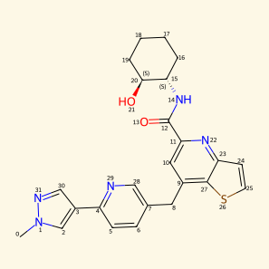 Cn1cc(-c2ccc(Cc3cc(C(=O)N[C@H]4CCCC[C@@H]4O)nc4ccsc34)cn2)cn1